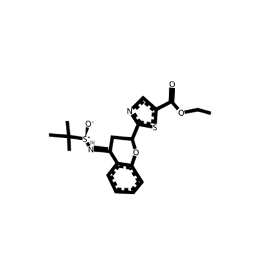 CCOC(=O)c1cnc(C2CC(=N[S@+]([O-])C(C)(C)C)c3ccccc3O2)s1